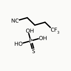 N#CCCCC(F)(F)F.OP(O)(O)=S